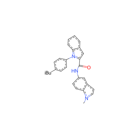 CCC(C)c1ccc(-n2c(C(=O)Nc3ccc4c(ccn4C)c3)cc3ccccc32)cc1